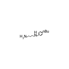 CCCCc1ccc(CNCCCCCN)cc1